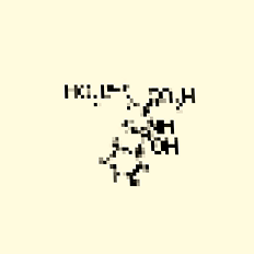 O=C(O)CC[C@H](NP(O)(=S)c1ccccc1)C(=O)O